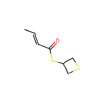 CC=CC(=O)SC1CSC1